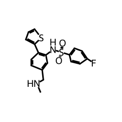 CNCc1ccc(-c2cccs2)c(NS(=O)(=O)c2ccc(F)cc2)c1